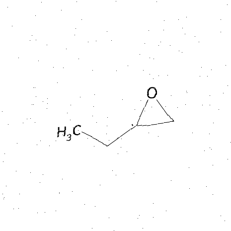 CC[C]1CO1